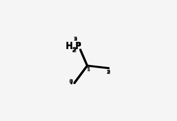 [CH2]C(C)P